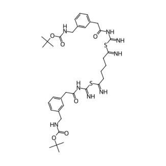 CC(C)(C)OC(=O)NCc1cccc(CC(=O)NC(=N)SC(=N)CCCCC(=N)SC(=N)NC(=O)Cc2cccc(CNC(=O)OC(C)(C)C)c2)c1